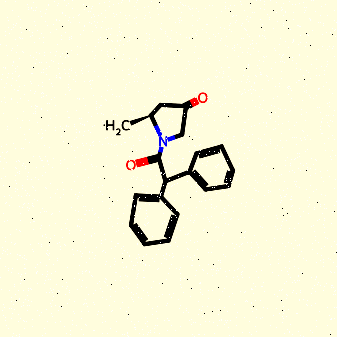 [CH2][C@H]1CC(=O)CN1C(=O)C(c1ccccc1)c1ccccc1